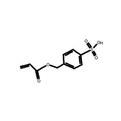 C=CC(=O)OCc1ccc(S(=O)(=O)O)cc1